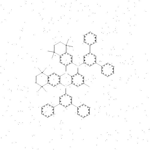 Cc1cc2c3c(c1)N(c1cc(-c4ccccc4)cc(-c4ccccc4)c1)c1cc4c(cc1B3c1cc3c(cc1N2c1cc(-c2ccccc2)cc(-c2ccccc2)c1)C(C)(C)CCC3(C)C)C(C)(C)CCC4(C)C